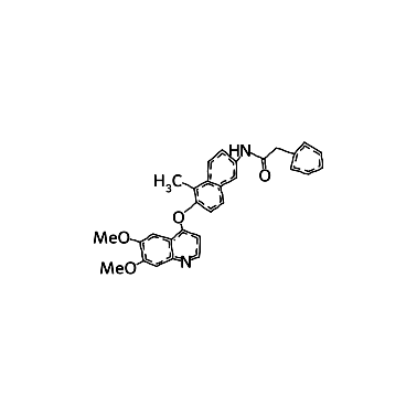 COc1cc2nccc(Oc3ccc4cc(NC(=O)Cc5ccccc5)ccc4c3C)c2cc1OC